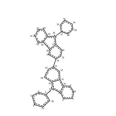 c1ccc(-n2c3ccccc3c3cc(-c4ccc5c(c4)c4cnccc4n5-c4ccccc4)ccc32)cc1